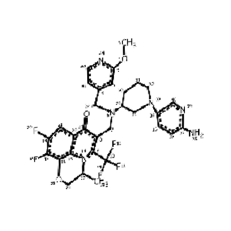 COc1cc(CN(Cc2c(C(F)(F)F)n3c4c(c(F)c(F)cc4c2=O)OCC3C)[C@H]2CCCN(c3ccc(N)nc3)C2)ccn1